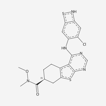 CON(C)C(=O)[C@H]1CCc2c(sc3ncnc(Nc4cc5s[nH]c5cc4Cl)c23)C1